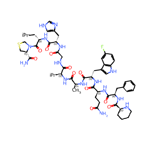 CC(C)C[C@H](NC(=O)[C@H](Cc1c[nH]cn1)NC(=O)CNC(=O)[C@@H](NC(=O)[C@H](C)NC(=O)[C@H](Cc1c[nH]c2ccc(F)cc12)NC(=O)[C@H](CCC(N)=O)NC(=O)[C@@H](Cc1ccccc1)NC(=O)[C@@H]1CCCCN1)C(C)C)C(=O)N1CSC[C@H]1C(N)=O